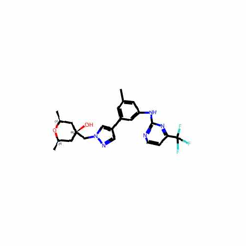 Cc1cc(Nc2nccc(C(F)(F)F)n2)cc(-c2cnn(C[C@]3(O)C[C@@H](C)O[C@@H](C)C3)c2)c1